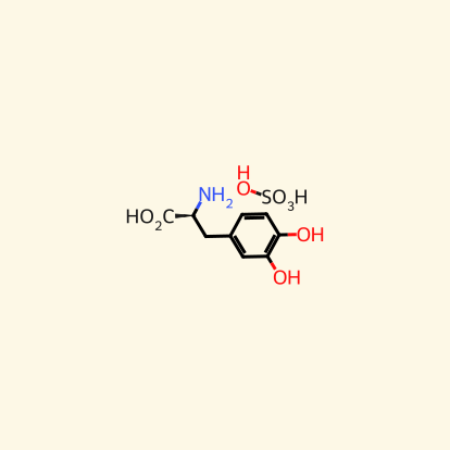 N[C@@H](Cc1ccc(O)c(O)c1)C(=O)O.O=S(=O)(O)O